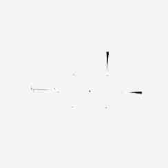 C[C@H]1[C@@H](O)CC12CN(C(=O)O)C2